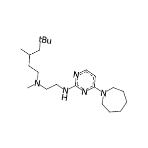 CC(CCN(C)CCNc1nccc(N2CCCCCC2)n1)CC(C)(C)C